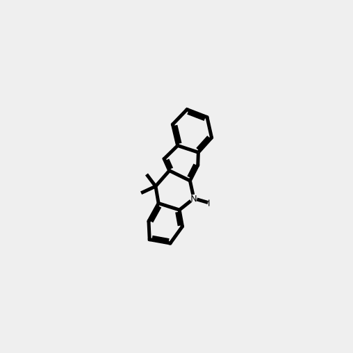 CC1(C)c2ccccc2N(I)c2cc3ccccc3cc21